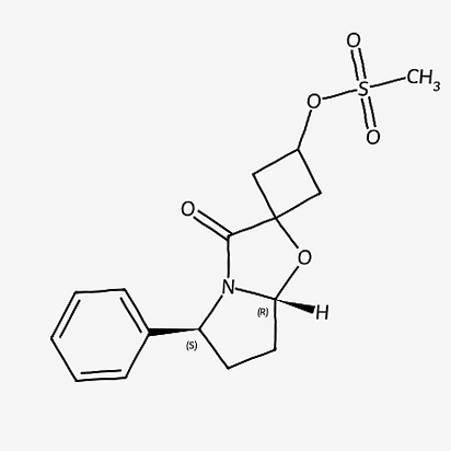 CS(=O)(=O)OC1CC2(C1)O[C@@H]1CC[C@@H](c3ccccc3)N1C2=O